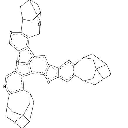 c1c2c(cc3c1oc1c3cc3c4c5c(ncc4n4c6cnc7c(c6c1c34)C1CC3CC4CC7CC43C1)C1CC3CC(C1)CC5C3)C1CC3CC4CC2CC43C1